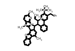 C=CC1C(C2c3cc(C)c4c(oc5ccccc54)c3-c3n(C)c4ccc(C)nc4[n+]32)c2ccccc2-c2cc(CC(C)C)c([Si](C)(C)C)c[n+]21